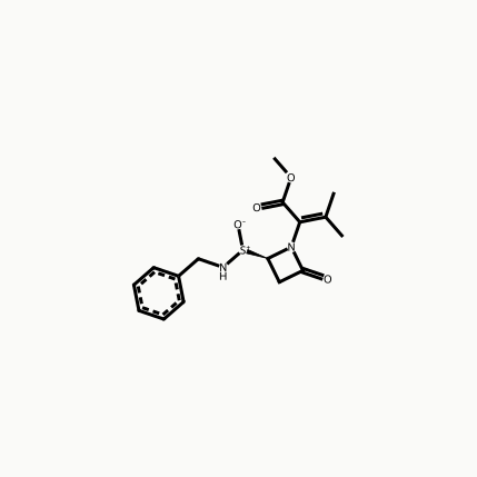 COC(=O)C(=C(C)C)N1C(=O)C[C@H]1[S+]([O-])NCc1ccccc1